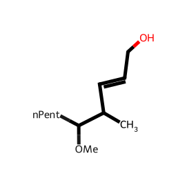 CCCCCC(OC)C(C)C=CCO